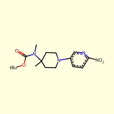 CN(C(=O)OC(C)(C)C)C1(C)CCN(c2ccc([N+](=O)[O-])nc2)CC1